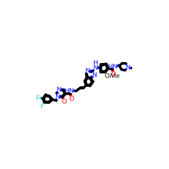 COc1cc(Nc2ncc3cc(C=CCNC(=O)c4cncn(Cc5ccc(F)c(F)c5)c4=O)ccc3n2)ccc1C(=O)NC1CCN(C)CC1